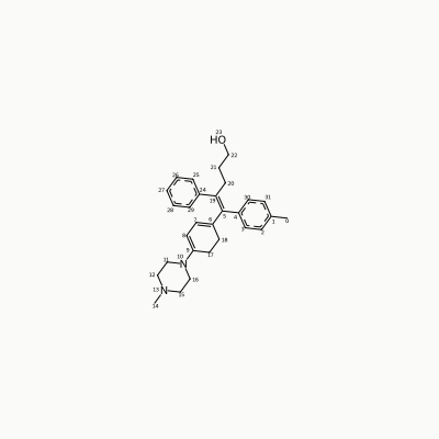 Cc1ccc(/C(C2=CC=C(N3CCN(C)CC3)CC2)=C(\CCCO)c2ccccc2)cc1